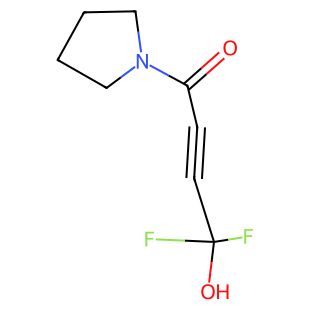 O=C(C#CC(O)(F)F)N1CCCC1